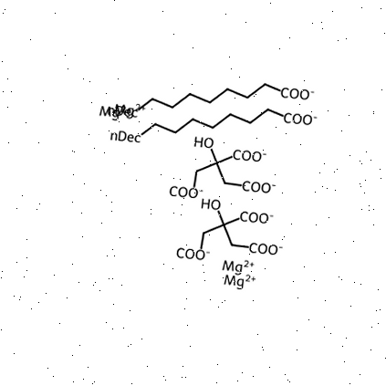 CCCCCCCCCCCCCCCCCC(=O)[O-].CCCCCCCCCCCCCCCCCC(=O)[O-].O=C([O-])CC(O)(CC(=O)[O-])C(=O)[O-].O=C([O-])CC(O)(CC(=O)[O-])C(=O)[O-].[Mg+2].[Mg+2].[Mg+2].[Mg+2]